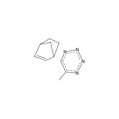 C1=CC2CCC1C2.Cc1cnnnn1